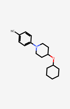 N#Cc1ccc(N2CCC(OC3CCCCC3)CC2)cc1